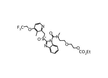 CCOC(=O)OCCOCCN(C)C(=O)n1c([S@+]([O-])Cc2nccc(OCC(F)(F)F)c2C)nc2ccccc21